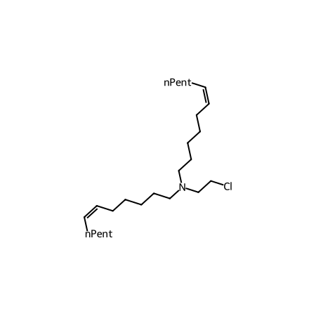 CCCCC/C=C\CCCCCN(CCCl)CCCCC/C=C\CCCCC